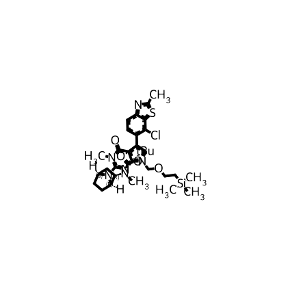 Cc1nc2ccc(-c3cn(COCC[Si](C)(C)C)c4nc(N5[C@H]6CC[C@@H]5[C@H](N(C)C(=O)OC(C)(C)C)C6)n(C)c(=O)c34)c(Cl)c2s1